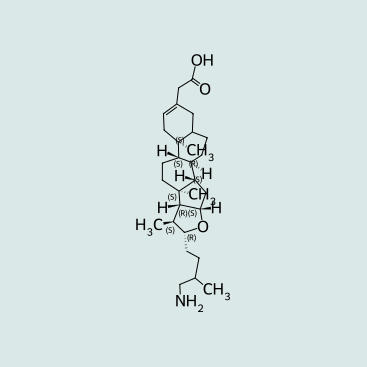 CC(CN)CC[C@H]1O[C@H]2C[C@H]3[C@@H]4CCC5CC(CC(=O)O)=CC[C@]5(C)[C@H]4CC[C@]3(C)[C@H]2[C@@H]1C